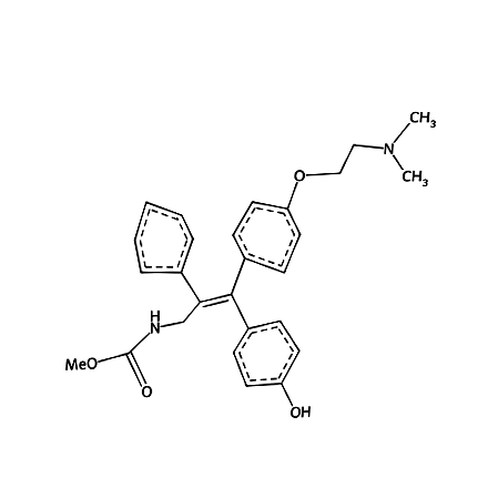 COC(=O)NC/C(=C(\c1ccc(O)cc1)c1ccc(OCCN(C)C)cc1)c1ccccc1